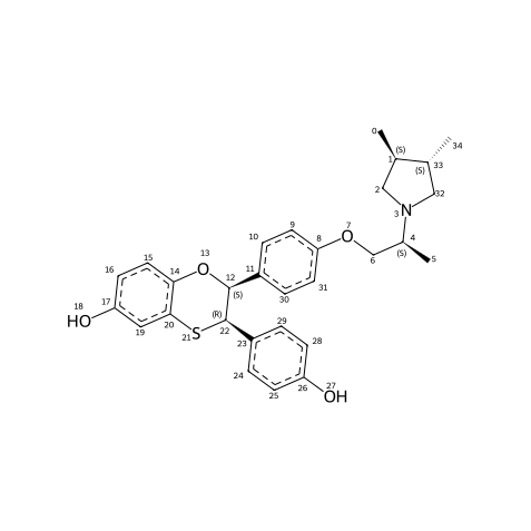 C[C@@H]1CN([C@@H](C)COc2ccc([C@@H]3Oc4ccc(O)cc4S[C@@H]3c3ccc(O)cc3)cc2)C[C@H]1C